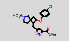 CNC(=O)c1cc(CC2C(Oc3ccc(Cl)cc3)CC23CCN(C(=O)O)C3)on1